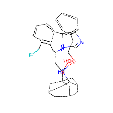 OC(CC1c2c(F)cccc2-c2cncn21)C12CC3CC(C1)C(NOCCc1ccccc1)C(C3)C2